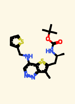 Cc1c(C[C@H](C)NC(=O)OC(C)(C)C)sc2c(NCc3cccs3)cnnc12